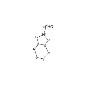 O=CN1CC2CCCCC2C1